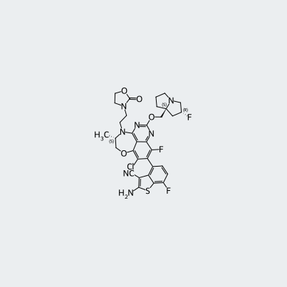 C[C@H]1COc2c(Cl)c(-c3ccc(F)c4sc(N)c(C#N)c34)c(F)c3nc(OC[C@@]45CCCN4C[C@H](F)C5)nc(c23)N1CCN1CCOC1=O